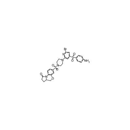 Nc1ccc(S(=O)(=O)c2cc(Br)nc(N3CCN(S(=O)(=O)c4ccc5c(c4)OCC4CCC(=O)N54)CC3)c2)cc1